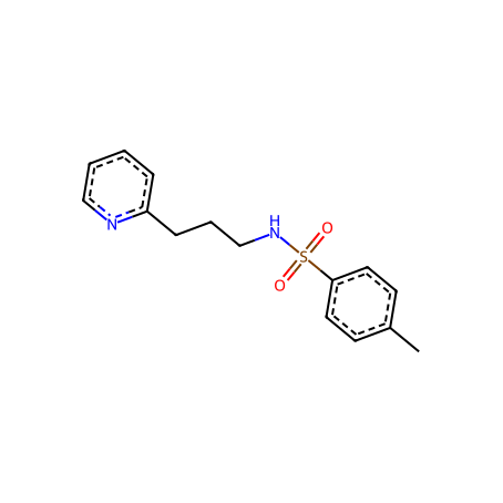 Cc1ccc(S(=O)(=O)NCCCc2ccccn2)cc1